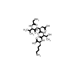 CC(C)[C@H](NC(=O)CN)C(=O)N[C@@H](CC(=O)O)C(=O)N[C@H](C(=O)N[C@@H](CCCCN)C(=O)O)[C@@H](C)O